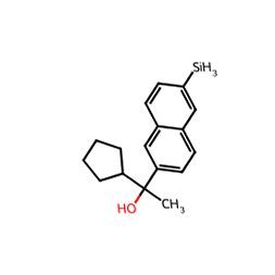 CC(O)(c1ccc2cc([SiH3])ccc2c1)C1CCCC1